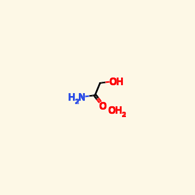 NC(=O)CO.O